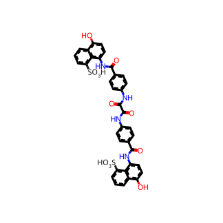 O=C(Nc1ccc(C(=O)Nc2ccc(O)c3cccc(S(=O)(=O)O)c23)cc1)C(=O)Nc1ccc(C(=O)Nc2ccc(O)c3cccc(S(=O)(=O)O)c23)cc1